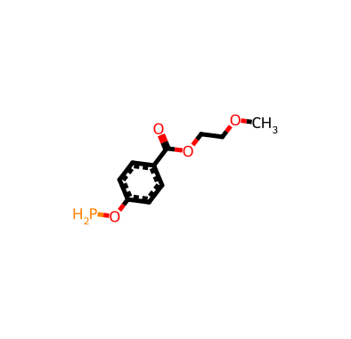 COCCOC(=O)c1ccc(OP)cc1